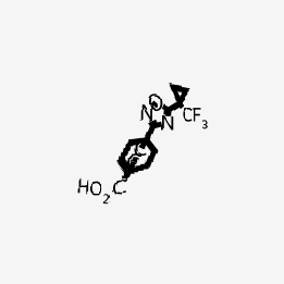 O=C(O)C12CCC(c3noc(C4(C(F)(F)F)CC4)n3)(CC1)CC2